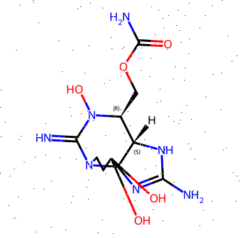 N=C1N(O)[C@@H](COC(N)=O)[C@@H]2NC(N)=NC23N1CCC3(O)O